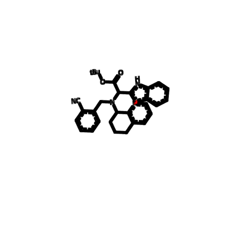 CC(C)(C)OC(=O)C(c1nc2ccccc2[nH]1)N(Cc1ccccc1C#N)C1CCCc2cccnc21